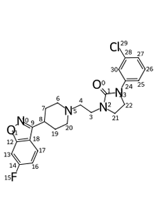 O=C1N(CCN2CCC(c3noc4cc(F)ccc34)CC2)CCN1c1cccc(Cl)c1